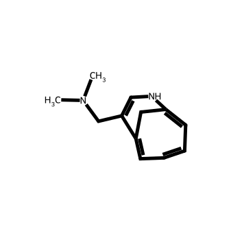 CN(C)CC1=CNC2=CC=CC=C1C2